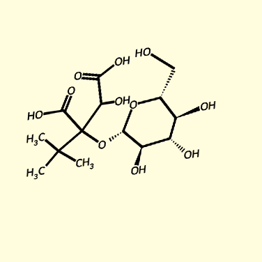 CC(C)(C)C(O[C@@H]1O[C@H](CO)[C@@H](O)[C@H](O)[C@H]1O)(C(=O)O)C(O)C(=O)O